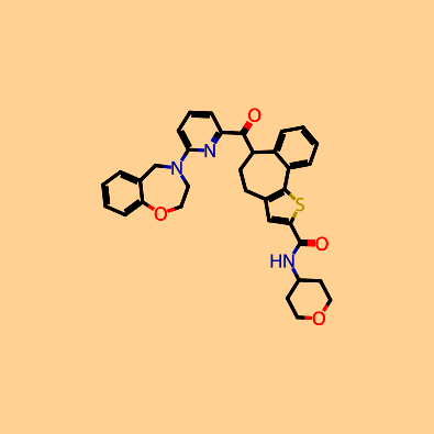 O=C(NC1CCOCC1)c1cc2c(s1)-c1ccccc1C(C(=O)c1cccc(N3CCOc4ccccc4C3)n1)CC2